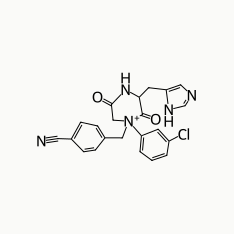 N#Cc1ccc(C[N+]2(c3cccc(Cl)c3)CC(=O)NC(Cc3cnc[nH]3)C2=O)cc1